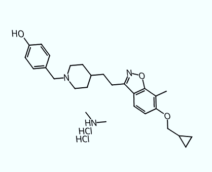 CNC.Cc1c(OCC2CC2)ccc2c(CCC3CCN(Cc4ccc(O)cc4)CC3)noc12.Cl.Cl